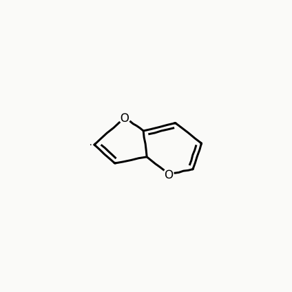 [C]1=CC2OC=CC=C2O1